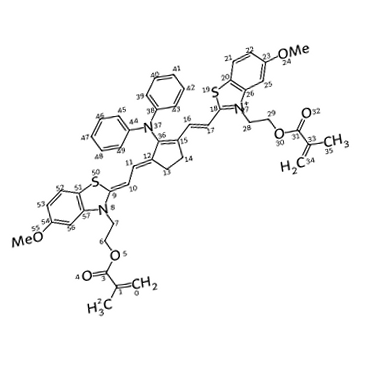 C=C(C)C(=O)OCCN1/C(=C/C=C2\CCC(/C=C/c3sc4ccc(OC)cc4[n+]3CCOC(=O)C(=C)C)=C2N(c2ccccc2)c2ccccc2)Sc2ccc(OC)cc21